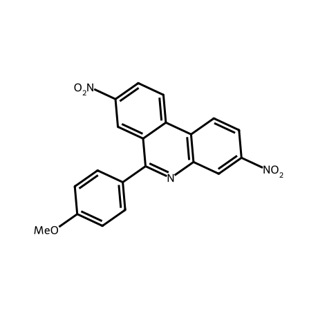 COc1ccc(-c2nc3cc([N+](=O)[O-])ccc3c3ccc([N+](=O)[O-])cc23)cc1